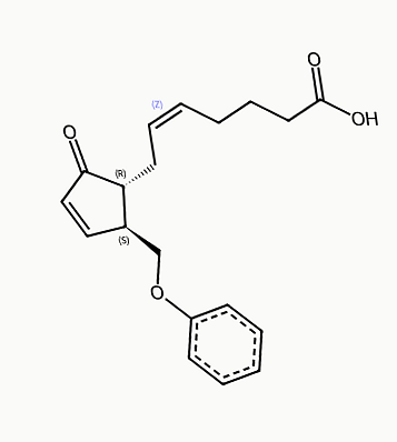 O=C(O)CCC/C=C\C[C@H]1C(=O)C=C[C@@H]1COc1ccccc1